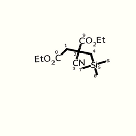 CCOC(=O)CC(C#N)(C[Si](C)(C)C)C(=O)OCC